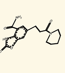 NC(=O)c1cc(C[CH]C(=O)N2CCCCC2)cc2oc(=O)[nH]c12